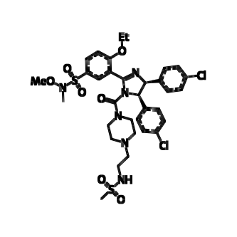 CCOc1ccc(S(=O)(=O)N(C)OC)cc1C1=N[C@@H](c2ccc(Cl)cc2)[C@@H](c2ccc(Cl)cc2)N1C(=O)N1CCN(CCNS(C)(=O)=O)CC1